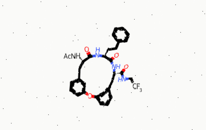 CC(=O)N[C@H]1Cc2cccc(c2)Oc2cccc(c2)C[C@@H](C(=O)NCC(F)(F)F)NC(=O)[C@H](CCc2ccccc2)NC1=O